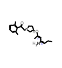 CC/C=C(N)\C=C(/C)O[C@H]1CCN(CC(=O)c2c(C)cccc2C)C1